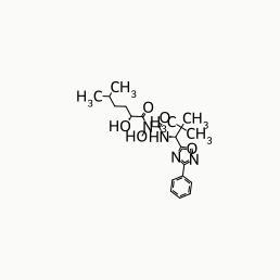 CC(C)CC[C@H](O)C(=O)N(O)C(=O)N[C@H](c1nc(-c2ccccc2)no1)C(C)(C)C